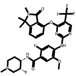 COc1cc(C(=O)N[C@H]2CCN(C)C[C@H]2F)c(F)cc1Nc1ncc(C(F)(F)F)c(Oc2cccc3c2C(=O)N(C)C3(C)C)n1